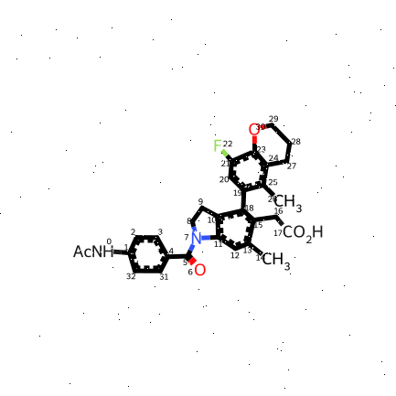 CC(=O)Nc1ccc(C(=O)N2CCc3c2cc(C)c(CC(=O)O)c3-c2cc(F)c3c(c2C)CCCO3)cc1